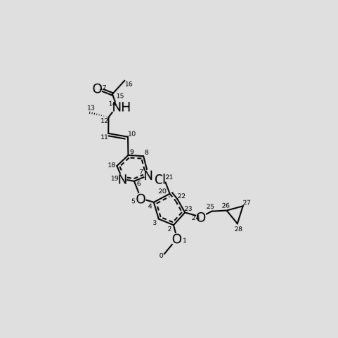 COc1cc(Oc2ncc(/C=C/[C@H](C)NC(C)=O)cn2)c(Cl)cc1OCC1CC1